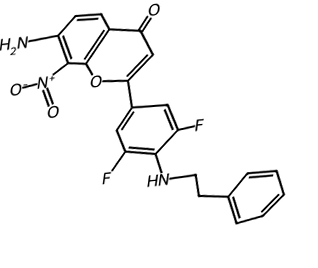 Nc1ccc2c(=O)cc(-c3cc(F)c(NCCc4ccccc4)c(F)c3)oc2c1[N+](=O)[O-]